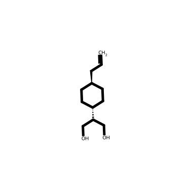 C=CC[C@H]1CC[C@H](C(CO)CO)CC1